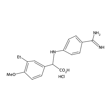 CCc1cc(C(Nc2ccc(C(=N)N)cc2)C(=O)O)ccc1OC.Cl